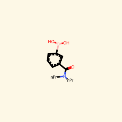 CCCN(CCC)C(=O)c1cccc(B(O)O)c1